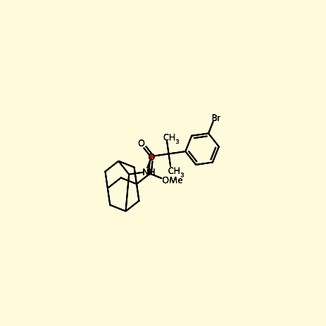 COC(=O)C12CC3CC(C1)C(NC(=O)C(C)(C)c1cccc(Br)c1)C(C3)C2